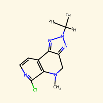 [2H]C([2H])([2H])n1nc2c(n1)-c1ccnc(Cl)c1N(C)C2